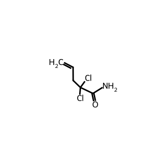 C=CCC(Cl)(Cl)C(N)=O